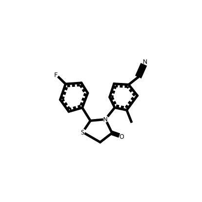 Cc1cc(C#N)ccc1N1C(=O)CSC1c1ccc(F)cc1